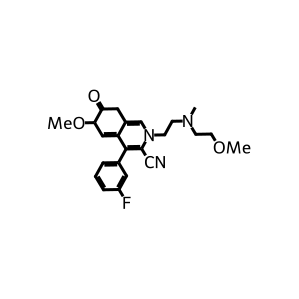 COCCN(C)CCN1C=C2CC(=O)C(OC)C=C2C(c2cccc(F)c2)=C1C#N